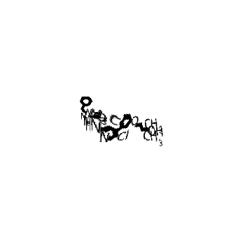 Cc1ccc(OCCCC(C)(C)O)cc1-c1cc(NC(=O)c2nnc(CC3CCCCC3)[nH]2)ncc1Cl